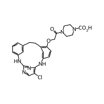 O=C(O)N1CCN(C(=O)COc2ccc3cc2CCc2cccc(c2)Nc2ncc(Cl)c(n2)N3)CC1